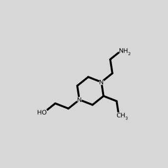 CCC1CN(CCO)CCN1CCN